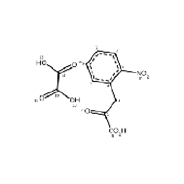 O=C(O)C(=O)Cc1ccccc1[N+](=O)[O-].O=C(O)C(=O)O